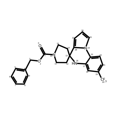 O=C(OCc1ccccc1)N1CCC2(CC1)Nc1cc(C(F)(F)F)ccc1-n1cccc12